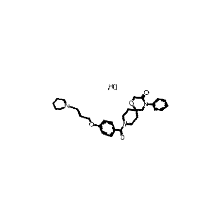 Cl.O=C(c1ccc(OCCCN2CCCCC2)cc1)N1CCC2(CC1)CN(c1ccccc1)C(=O)CO2